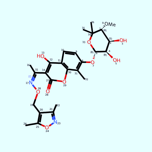 CO[C@@H]1[C@@H](O)[C@@H](O)[C@H](Oc2ccc3c(O)c(/C(C)=N\OCc4c(C)noc4C)c(=O)oc3c2C)OC1(C)C